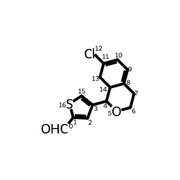 O=Cc1cc(C2OCCC3=CC=C(Cl)CC32)cs1